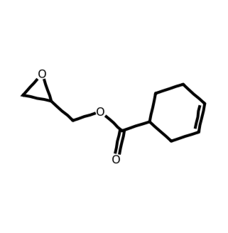 O=C(OCC1CO1)C1CC=CCC1